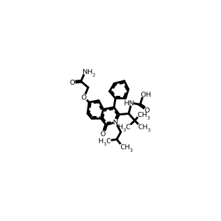 CC(C)Cn1c(C(NC(=O)O)C(C)(C)C)c(-c2ccccc2)c2cc(OCC(N)=O)ccc2c1=O